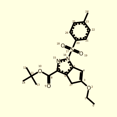 CCOC1=Cc2c(c(C(=O)OC(C)(C)C)nn2S(=O)(=O)c2ccc(C)cc2)C1